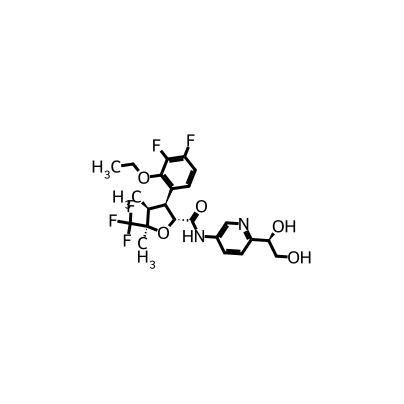 CCOc1c([C@H]2[C@H](C(=O)Nc3ccc([C@@H](O)CO)nc3)O[C@@](C)(C(F)(F)F)[C@H]2C)ccc(F)c1F